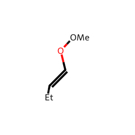 CCC=COOC